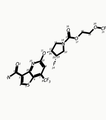 CNC(=O)c1csc2c(C(F)(F)F)cc(O[C@@H]3CN(C(=O)OCCOC(F)(F)F)C[C@@H]3F)nc12